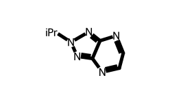 CC(C)n1nc2nccnc2n1